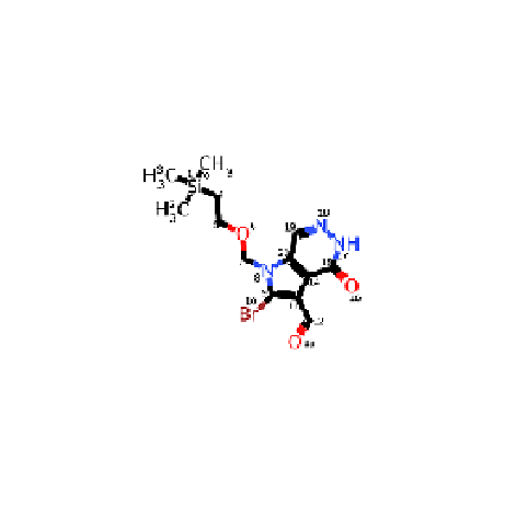 C[Si](C)(C)CCOCn1c(Br)c(C=O)c2c(=O)[nH]ncc21